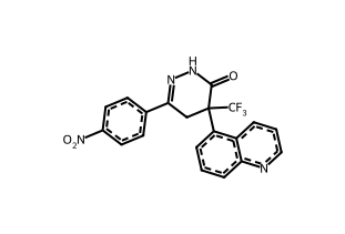 O=C1NN=C(c2ccc([N+](=O)[O-])cc2)CC1(c1cccc2ncccc12)C(F)(F)F